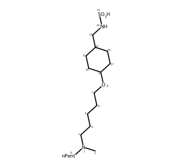 CCCCCN(C)CCCCCOC1CCC(CNS(=O)(=O)O)CC1